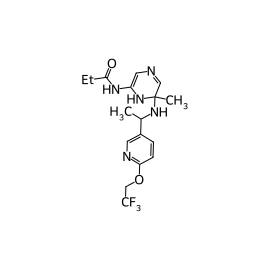 CCC(=O)NC1=CN=CC(C)(NC(C)c2ccc(OCC(F)(F)F)nc2)N1